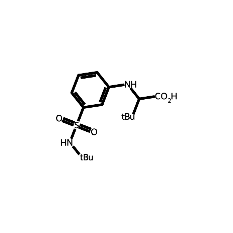 CC(C)(C)NS(=O)(=O)c1cccc(NC(C(=O)O)C(C)(C)C)c1